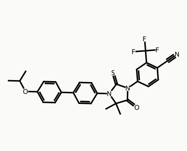 CC(C)Oc1ccc(-c2ccc(N3C(=S)N(c4ccc(C#N)c(C(F)(F)F)c4)C(=O)C3(C)C)cc2)cc1